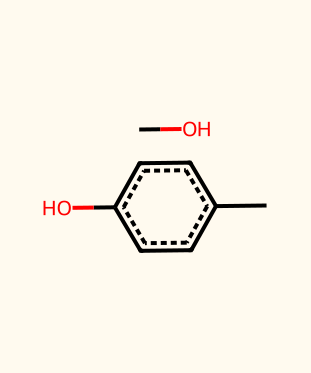 CO.Cc1ccc(O)cc1